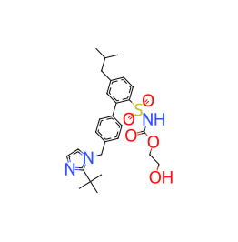 CC(C)Cc1ccc(S(=O)(=O)NC(=O)OCCO)c(-c2ccc(Cn3ccnc3C(C)(C)C)cc2)c1